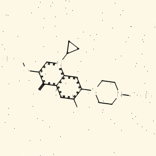 CCOC(=O)N1CCN(c2cc3c(cc2F)c(=O)c(OC(=O)O)cn3C2CC2)CC1